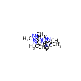 [C-]#[N+]c1c(C(C)(C)C)nn(C)c1/N=N/c1c(C(C)(C)C)nn2c(C)nn(C)c12